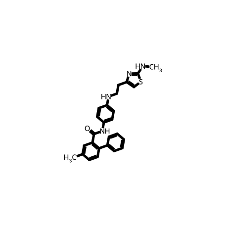 CNc1nc(CCNc2ccc(NC(=O)c3cc(C)ccc3-c3ccccc3)cc2)cs1